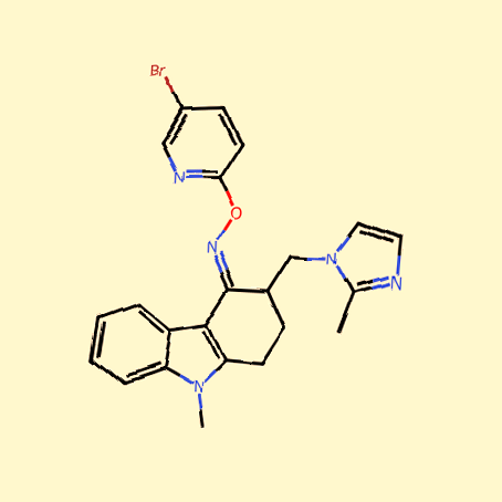 Cc1nccn1CC1CCc2c(c3ccccc3n2C)C1=NOc1ccc(Br)cn1